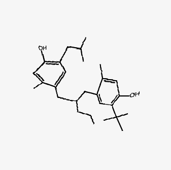 CCCC(Cc1cc(CC(C)C)c(O)cc1C)Cc1cc(C(C)(C)C)c(O)cc1C